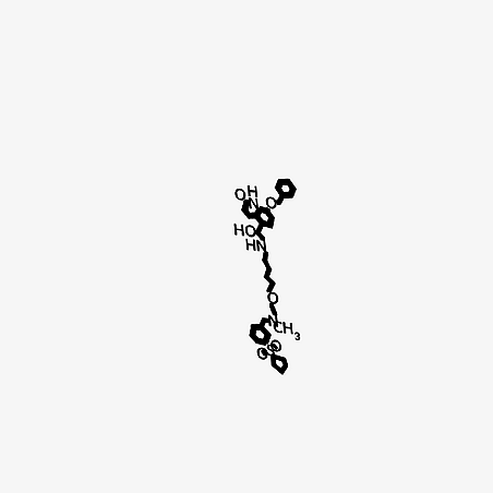 CN(CCOCCCCCCNCC(O)c1ccc(OCc2ccccc2)c2[nH]c(=O)ccc12)Cc1cccc(S(=O)(=O)C2CCCC2)c1